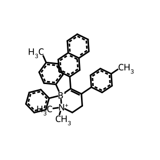 Cc1ccc(C2=C(c3ccc4ccccc4c3)[B-](c3ccccc3)(c3ccc(C)cc3)[N+](C)(C)CC2)cc1